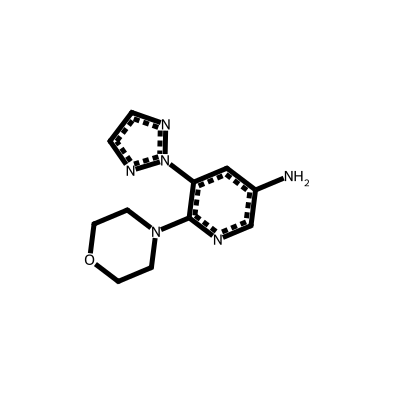 Nc1cnc(N2CCOCC2)c(-n2nccn2)c1